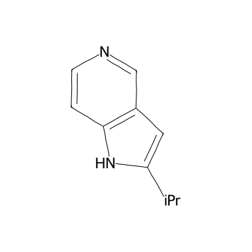 CC(C)c1cc2cnccc2[nH]1